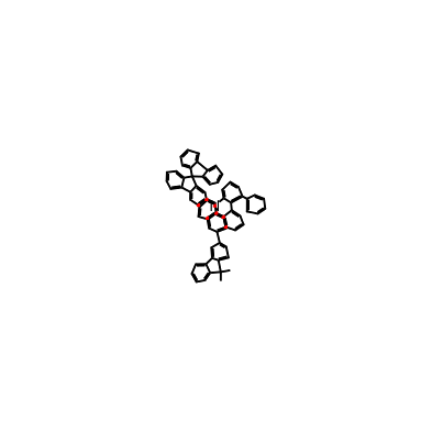 CC1(C)c2ccccc2-c2cc(-c3ccc(N(c4ccc5c(c4)C4(c6ccccc6-c6ccccc64)c4ccccc4-5)c4cccc(-c5ccccc5)c4-c4ccccc4-c4ccccc4)cc3)ccc21